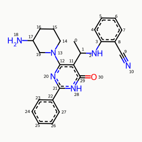 CC(Nc1ccccc1C#N)c1c(N2CCCC(N)C2)nc(-c2ccccc2)[nH]c1=O